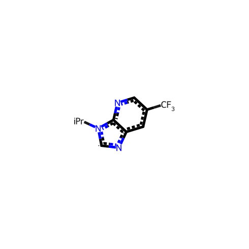 CC(C)n1[c]nc2cc(C(F)(F)F)cnc21